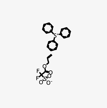 C=CCOC(=O)C(F)(F)S(=O)(=O)[O-].c1ccc([S+](c2ccccc2)c2ccccc2)cc1